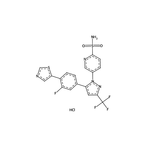 Cl.NS(=O)(=O)c1ccc(-n2nc(C(F)(F)F)cc2-c2ccc(-c3cncs3)c(F)c2)cn1